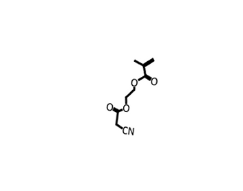 C=C(C)C(=O)OCCOC(=O)CC#N